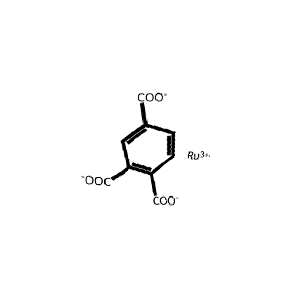 O=C([O-])c1ccc(C(=O)[O-])c(C(=O)[O-])c1.[Ru+3]